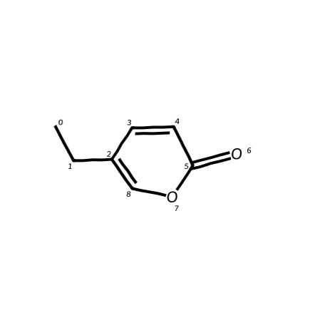 CCc1ccc(=O)oc1